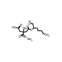 CCCCCC(CC)OC(=O)CC(O)(CC(=O)O)C(=O)O.N